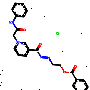 O=C(C[n+]1cccc(C(=O)N=NCCOC(=O)c2ccccc2)c1)Nc1ccccc1.[Cl-]